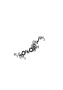 CN(C)c1ccc(N=Nc2ccc(S(=O)(=O)N[C@@H](CCCCN)C(=O)O)cc2)cc1